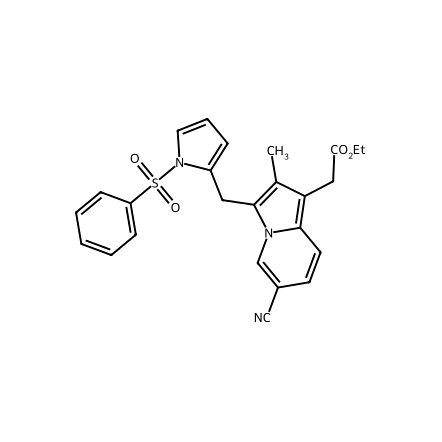 CCOC(=O)Cc1c(C)c(Cc2cccn2S(=O)(=O)c2ccccc2)n2cc(C#N)ccc12